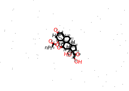 CCCC(=O)OC1CC(=O)C=C2CC[C@H]3[C@@H]4CC[C@](O)(C(=O)CO)[C@@]4(C)CC(=O)[C@@H]3[C@]21C